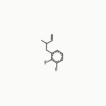 C=C[C](C)Cc1cccc(F)c1F